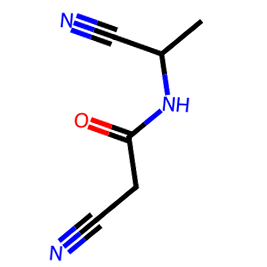 CC(C#N)NC(=O)CC#N